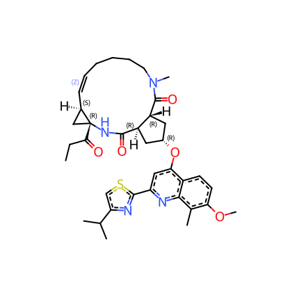 CCC(=O)[C@@]12C[C@H]1/C=C\CCCCN(C)C(=O)[C@@H]1C[C@H](Oc3cc(-c4nc(C(C)C)cs4)nc4c(C)c(OC)ccc34)C[C@H]1C(=O)N2